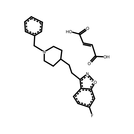 Fc1ccc2c(CCC3CCN(Cc4ccccc4)CC3)noc2c1.O=C(O)C=CC(=O)O